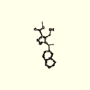 COC(=O)c1nnn(C(C)c2ccc3ncccc3c2)c1CO